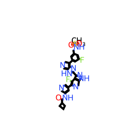 CS(=O)(=O)NCc1cc(F)cc(-c2cncc3[nH]c(-c4n[nH]c5cnc(-c6cncc(NC(=O)C7CCC7)c6)c(F)c45)nc23)c1